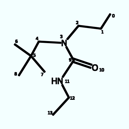 CCCN(CC(C)(C)C)C(=O)NCC